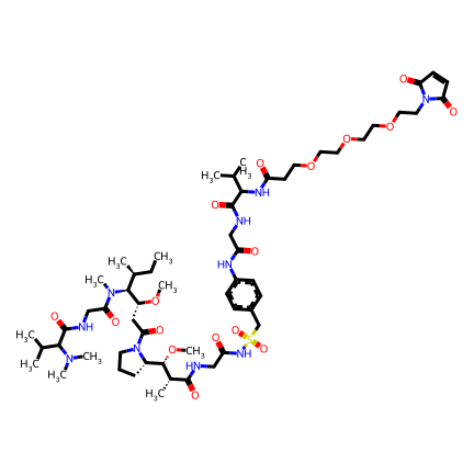 CC[C@H](C)[C@@H]([C@@H](CC(=O)N1CCC[C@H]1[C@H](OC)[C@@H](C)C(=O)NCC(=O)NS(=O)(=O)Cc1ccc(NC(=O)CNC(=O)C(NC(=O)CCOCCOCCOCCN2C(=O)C=CC2=O)C(C)C)cc1)OC)N(C)C(=O)CNC(=O)C(C(C)C)N(C)C